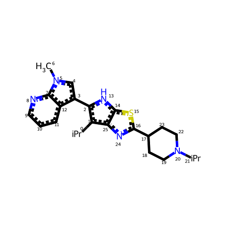 CC(C)c1c(-c2cn(C)c3ncccc23)[nH]c2sc(C3CCN(C(C)C)CC3)nc12